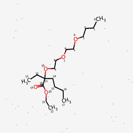 CCCCOCCOCCOC(CC)(CCCC)C(=O)OCC